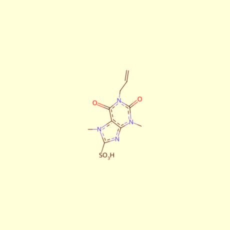 C=CCn1c(=O)c2c(nc(S(=O)(=O)O)n2C)n(C)c1=O